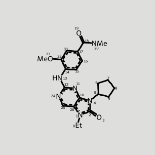 CCn1c(=O)n(C2CCCC2)c2nc(Nc3ccc(C(=O)NC)cc3OC)ncc21